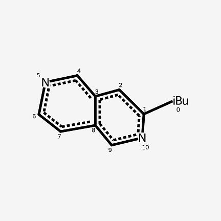 CCC(C)c1cc2cnccc2cn1